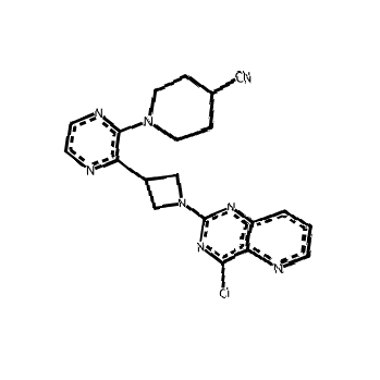 N#CC1CCN(c2nccnc2C2CN(c3nc(Cl)c4ncccc4n3)C2)CC1